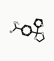 CC(Br)c1ccc(C2(c3cccs3)OCCO2)cc1